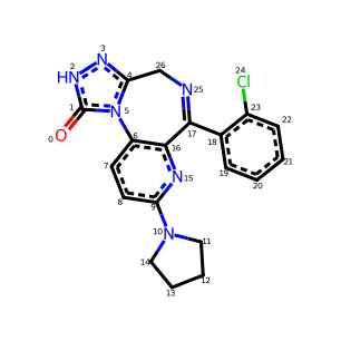 O=c1[nH]nc2n1-c1ccc(N3CCCC3)nc1C(c1ccccc1Cl)=NC2